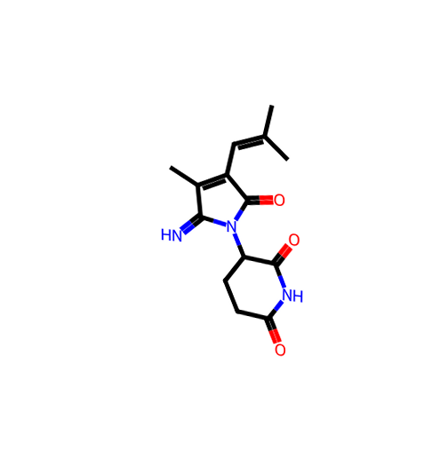 CC(C)=CC1=C(C)C(=N)N(C2CCC(=O)NC2=O)C1=O